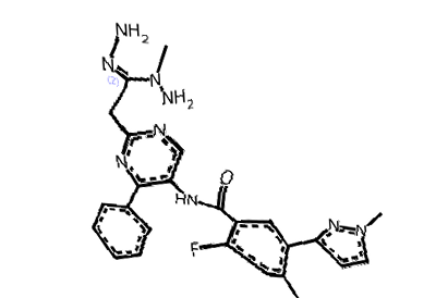 CN(N)/C(Cc1ncc(NC(=O)c2cc(-c3ccn(C)n3)c(C(F)(F)F)cc2F)c(-c2ccccc2)n1)=N\N